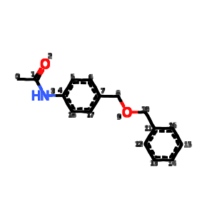 CC(=O)Nc1ccc(COCc2ccccc2)cc1